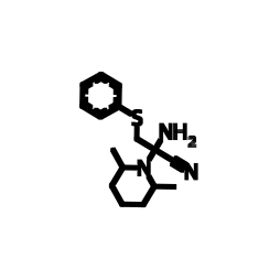 CC1CCCC(C)N1C(N)(C#N)CSc1ccccc1